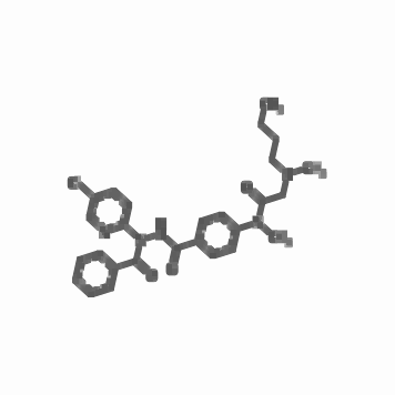 CCCCN(C)CC(=O)N(C)c1ccc(C(=O)NN(C(=O)c2ccccc2)c2ccc(Cl)cn2)cc1